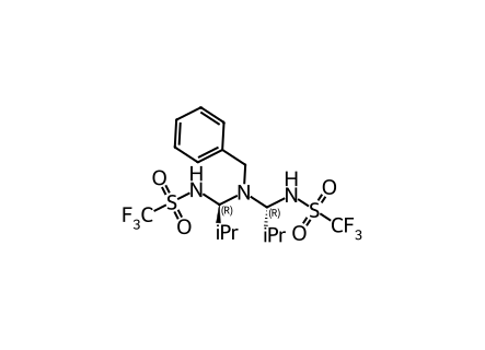 CC(C)[C@@H](NS(=O)(=O)C(F)(F)F)N(Cc1ccccc1)[C@H](NS(=O)(=O)C(F)(F)F)C(C)C